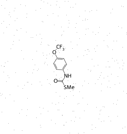 CSC(=O)Nc1ccc(OC(F)(F)F)cc1